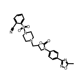 Cc1nc(-c2ccc(N3CC(CN4CCN(S(=O)(=O)c5ccccc5C#N)CC4)OC3=O)cc2)no1